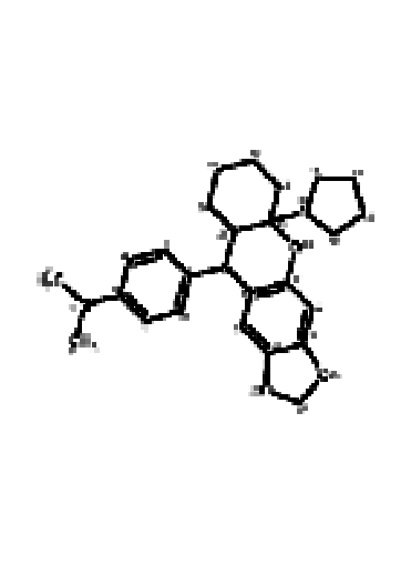 CN(C)c1ccc(C2c3cc4c(cc3OC3(N5CCCC5)CCCCC23)OCO4)cc1